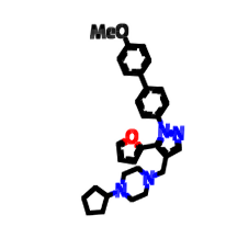 COc1ccc(-c2ccc(-n3ncc(CN4CCN(C5CCCC5)CC4)c3-c3ccco3)cc2)cc1